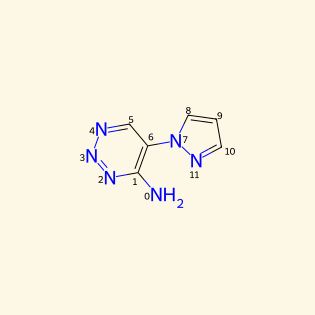 Nc1nnncc1-n1cccn1